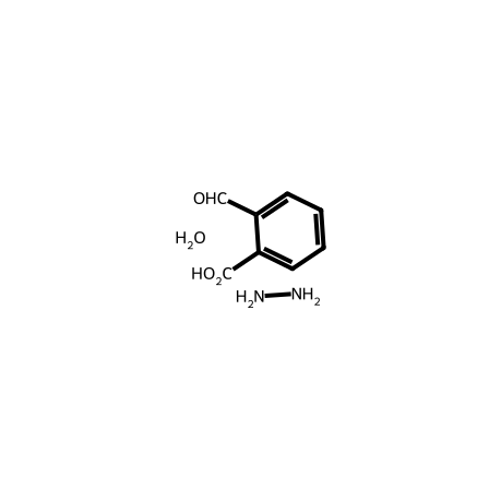 NN.O.O=Cc1ccccc1C(=O)O